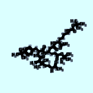 CC(=O)NCSC(C)(C)C(N)C(=O)N[C@@H](Cc1ccc(C(C)(C)C)cc1)C(=O)N[C@@H](CCC(=O)OC(C)(C)C)CC(=O)N[C@H](CCCCNC(=O)OC(C)(C)C)C(N)=O